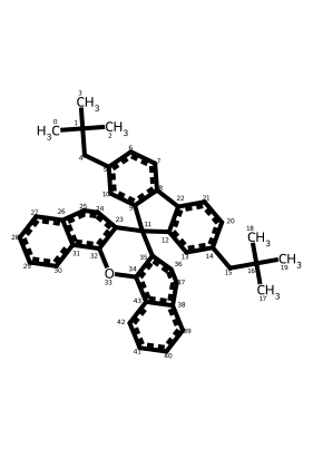 CC(C)(C)Cc1ccc2c(c1)C1(c3cc(CC(C)(C)C)ccc3-2)c2ccc3ccccc3c2Oc2c1ccc1ccccc21